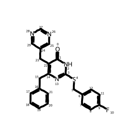 O=c1[nH]c(SCc2ccc(F)cc2)nc(Cc2ccccc2)c1Cc1cncnc1